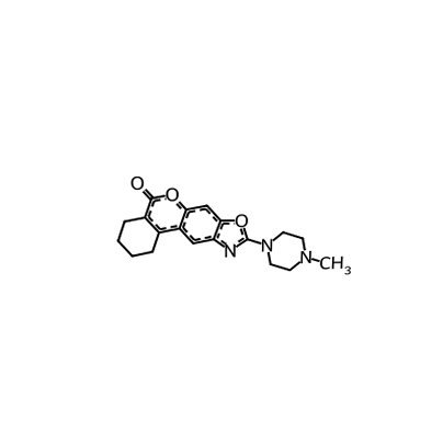 CN1CCN(c2nc3cc4c5c(c(=O)oc4cc3o2)CCCC5)CC1